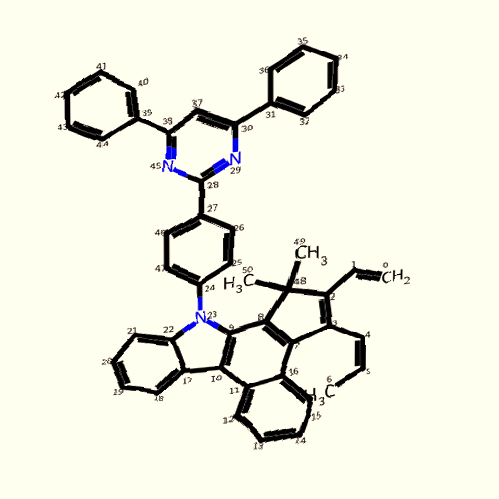 C=CC1=C(/C=C\C)c2c(c3c(c4ccccc24)c2ccccc2n3-c2ccc(-c3nc(-c4ccccc4)cc(-c4ccccc4)n3)cc2)C1(C)C